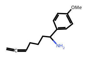 C=C=CCCCC(N)c1ccc(OC)cc1